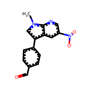 Cn1cc(-c2ccc(C=O)cc2)c2cc([N+](=O)[O-])cnc21